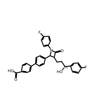 O=C(O)c1ccc(-c2ccc(C3C(CC[C@H](O)c4ccc(F)cc4)C(=O)N3c3ccc(F)cc3)cc2)cc1